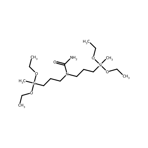 CCO[Si](C)(CCCN(CCC[Si](C)(OCC)OCC)C(N)=O)OCC